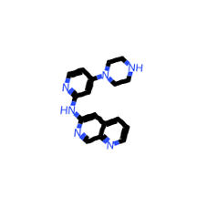 c1cnc2cnc(Nc3cc(N4CCNCC4)ccn3)cc2c1